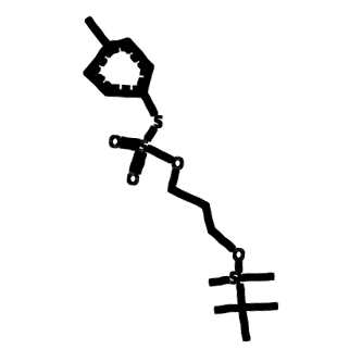 Cc1ccc(SS(=O)(=O)OCCCO[Si](C)(C)C(C)(C)C)cc1